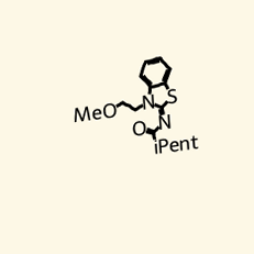 CCCC(C)C(=O)N=c1sc2ccccc2n1CCOC